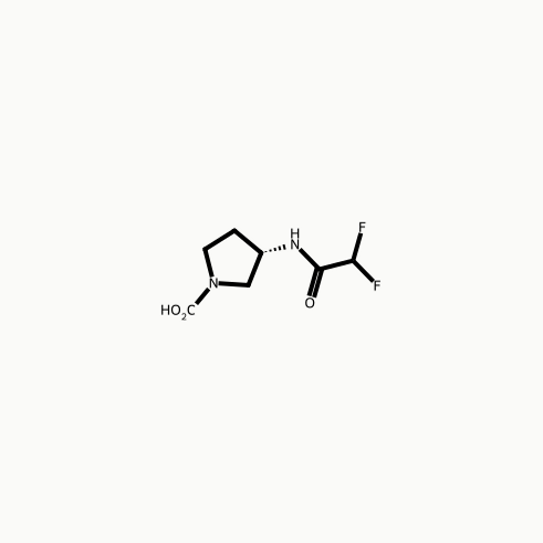 O=C(N[C@H]1CCN(C(=O)O)C1)C(F)F